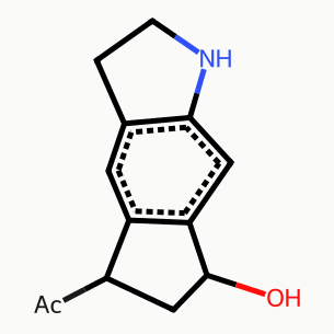 CC(=O)C1CC(O)c2cc3c(cc21)CCN3